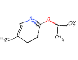 CC1=CN=C(OC(C)C)CC1